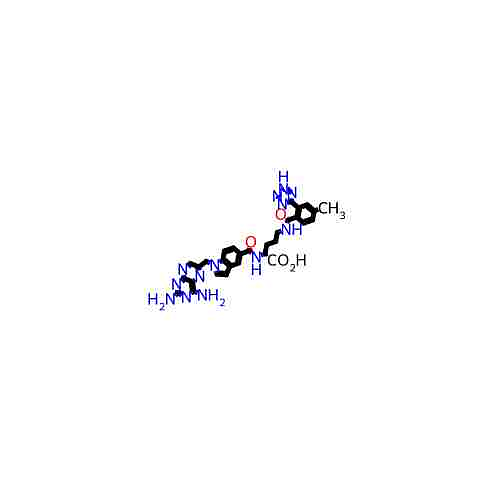 Cc1ccc(C(=O)NCCC[C@H](NC(=O)c2ccc3c(ccn3Cc3cnc4nc(N)nc(N)c4n3)c2)C(=O)O)c(-c2nn[nH]n2)c1